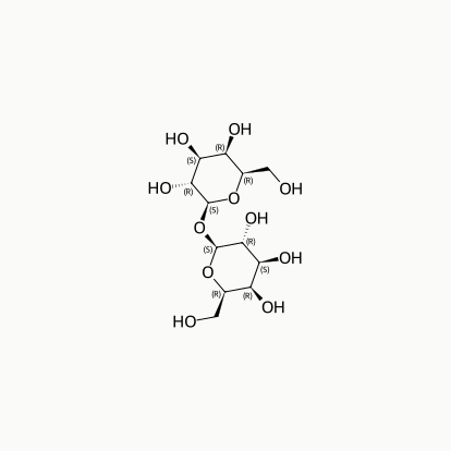 OC[C@H]1O[C@@H](O[C@@H]2O[C@H](CO)[C@H](O)[C@H](O)[C@H]2O)[C@H](O)[C@@H](O)[C@H]1O